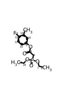 CCOP(=O)(CC(=O)Oc1ccc(F)c(C)c1)OCC